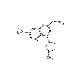 CN1CCN(c2cc(CN)cc3cc(C4CC4)cnc23)C1